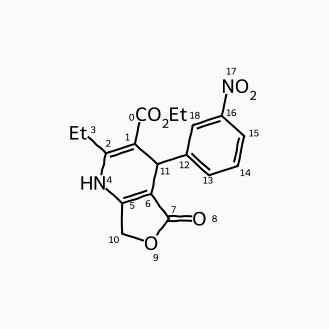 CCOC(=O)C1=C(CC)NC2=C(C(=O)OC2)C1c1cccc([N+](=O)[O-])c1